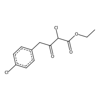 CCOC(=O)C(Cl)C(=O)Cc1ccc(Cl)cc1